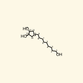 OCCCCCCCCCN1CC(O)C(O)C1